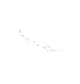 CCCCCc1ccc(C2CCC(CCC3CCC(C/C=C/F)CC3)CC2)cc1